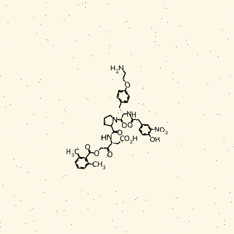 Cc1cccc(C)c1C(=O)OCC(=O)[C@H](CC(=O)O)NC(=O)C1CCCN1C(=O)[C@H](Cc1ccc(OCCN)cc1)NC(=O)Cc1ccc(O)c([N+](=O)[O-])c1